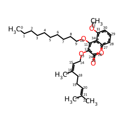 CCCCCCCCCCOc1c(OCC=C(C)CCC=C(C)C)c(=O)oc2cccc(OC)c12